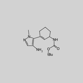 Cn1ncc(N)c1C1=CC(NC(=O)OC(C)(C)C)CCC1